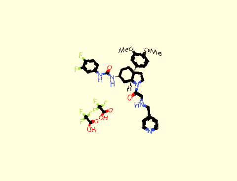 COc1ccc([C@@]23CC[C@@H](NC(=O)Nc4ccc(F)c(F)c4)C[C@@H]2N(C(=O)CNCc2ccncc2)CC3)cc1OC.O=C(O)C(F)(F)F.O=C(O)C(F)(F)F